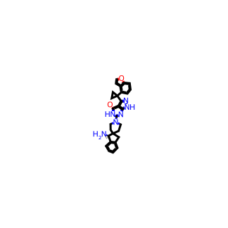 N[C@@H]1c2ccccc2CC12CCN(c1nc3[nH]nc(C4(c5cccc6occc56)CC4)c3c(=O)[nH]1)CC2